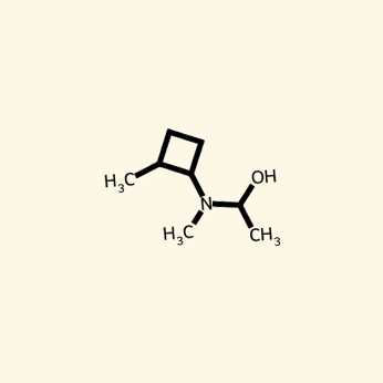 CC1CCC1N(C)C(C)O